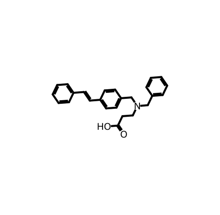 O=C(O)CCN(Cc1ccccc1)Cc1ccc(/C=C/c2ccccc2)cc1